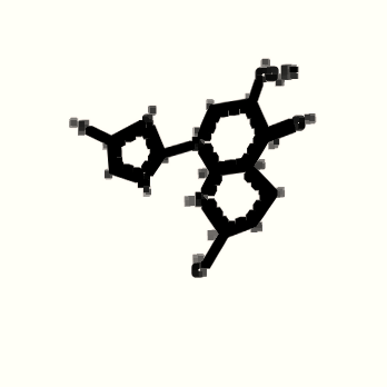 CCOC(=O)c1cn(-c2ncc(F)s2)c2nc(Cl)ccc2c1=O